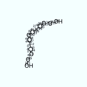 CC(C)(c1ccc(OCCOCCO)cc1)c1ccc(Oc2ccc(C(C)(C)c3ccc(OCCOCCO)cc3)cc2)cc1